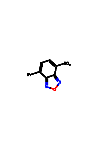 CC(C)c1ccc([N+](=O)[O-])c2nonc12